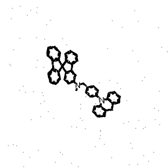 CN(Cc1ccc(N2c3ccccc3Cc3ccccc32)cc1)c1ccc2c(c1)-c1ccccc1C21c2ccccc2-c2ccccc21